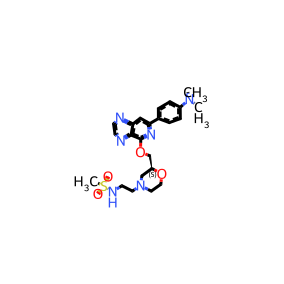 CN(C)c1ccc(-c2cc3nccnc3c(OC[C@@H]3CN(CCNS(C)(=O)=O)CCO3)n2)cc1